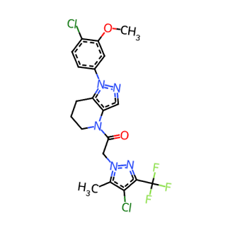 COc1cc(-n2ncc3c2CCCN3C(=O)Cn2nc(C(F)(F)F)c(Cl)c2C)ccc1Cl